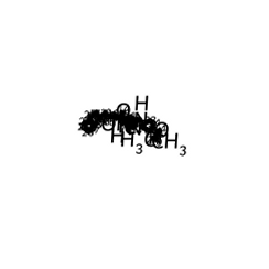 CN(C)C(=O)[C@H]1CC[C@H](Nc2cc(C(=O)NC[C@H](O)CN3CCc4ccccc4C3)ncn2)CC1